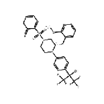 COc1ncccc1C[C@H]1CN(S(=O)(=O)C2=CC=CCC2=S)CCN1c1ccc(C(O)(C(F)(F)F)C(F)(F)F)cc1